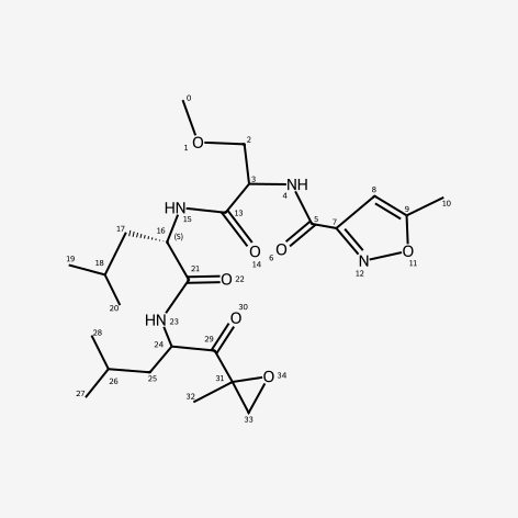 COCC(NC(=O)c1cc(C)on1)C(=O)N[C@@H](CC(C)C)C(=O)NC(CC(C)C)C(=O)C1(C)CO1